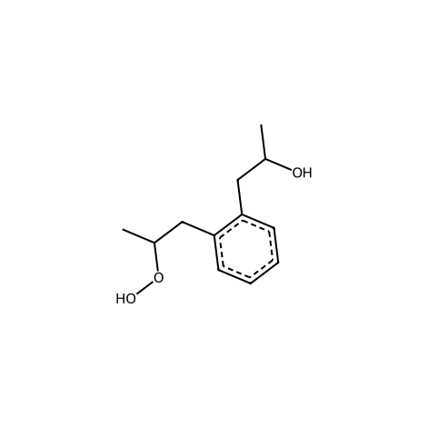 CC(O)Cc1ccccc1CC(C)OO